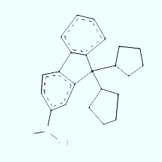 OB(O)c1ccc2c(c1)C(C1CCCC1)(C1CCCC1)c1ccccc1-2